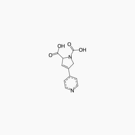 O=C(O)C1C=C(c2ccncc2)CN1C(=O)O